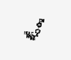 N#Cc1ccc([C@H]2CC[C@@H](Sc3nn[nH]c3C(=O)O)CC2)cc1